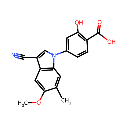 COc1cc2c(C#N)cn(-c3ccc(C(=O)O)c(O)c3)c2cc1C